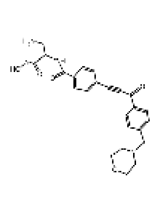 NCC(NC(=O)c1ccc(C#CC(=O)c2ccc(CN3CCOCC3)cc2)cc1)C(=O)NO